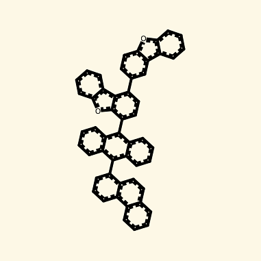 c1ccc2c(c1)ccc1c(-c3c4ccccc4c(-c4ccc(-c5ccc6oc7ccccc7c6c5)c5c4oc4ccccc45)c4ccccc34)cccc12